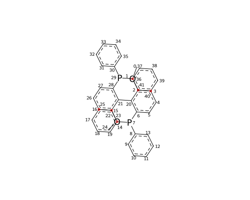 COc1cccc(P(c2ccccc2)c2ccccc2)c1-c1c(OC)cccc1P(c1ccccc1)c1ccccc1